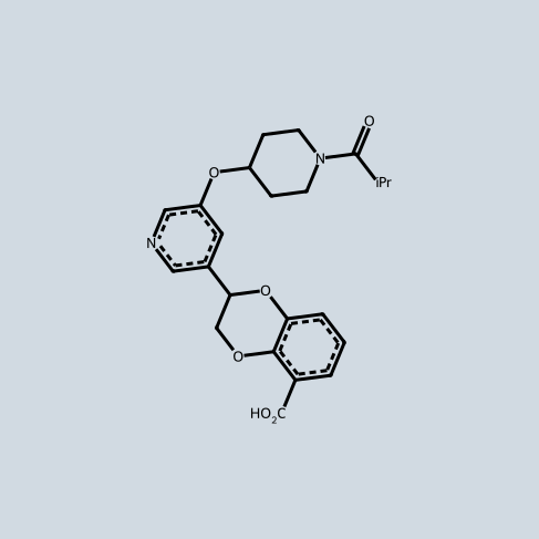 CC(C)C(=O)N1CCC(Oc2cncc(C3COc4c(cccc4C(=O)O)O3)c2)CC1